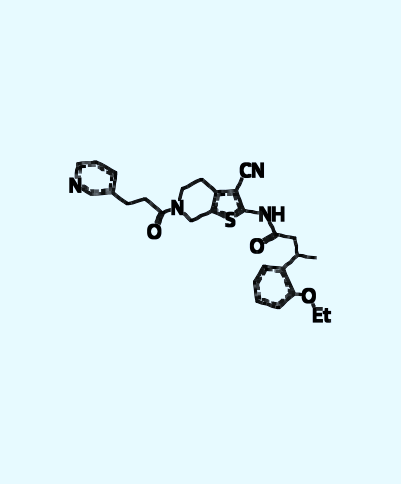 CCOc1ccccc1C(C)CC(=O)Nc1sc2c(c1C#N)CCN(C(=O)CCc1cccnc1)C2